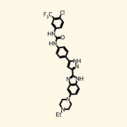 CCN1CCN(c2ccc3[nH]c(-c4cc(-c5ccc(NC(=O)Nc6ccc(Cl)c(C(F)(F)F)c6)cc5)[nH]n4)nc3c2)CC1